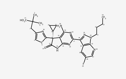 CC(C)(Cc1csc([C@]2(C3CC3)C(=O)Nc3nc(-c4nn(CCCC(F)(F)F)c5ncc(F)cc45)nc(N)c32)n1)C(=O)O